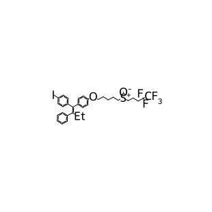 CCC(=C(c1ccc(I)cc1)c1ccc(OCCCCC[S+]([O-])CCCC(F)(F)C(F)(F)F)cc1)c1ccccc1